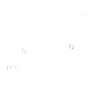 CN1CCCCC1.c1ccc(N2CCOCC2)cc1